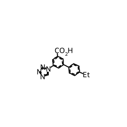 CCc1ccc(-c2cc(C(=O)O)cc(-n3cnnn3)c2)cc1